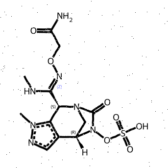 CN/C(=N\OCC(N)=O)[C@@H]1c2c(cnn2C)[C@@H]2CN1C(=O)N2OS(=O)(=O)O